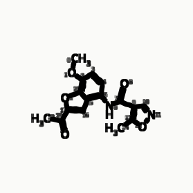 COc1ccc(NC(=O)c2cnoc2C)c2cc(C(C)=O)oc12